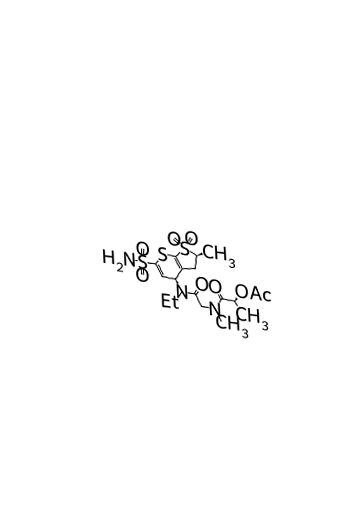 CCN(C(=O)CN(C)C(=O)[C@H](C)OC(C)=O)[C@H]1C=C(S(N)(=O)=O)SC2=C1C[C@H](C)S2(=O)=O